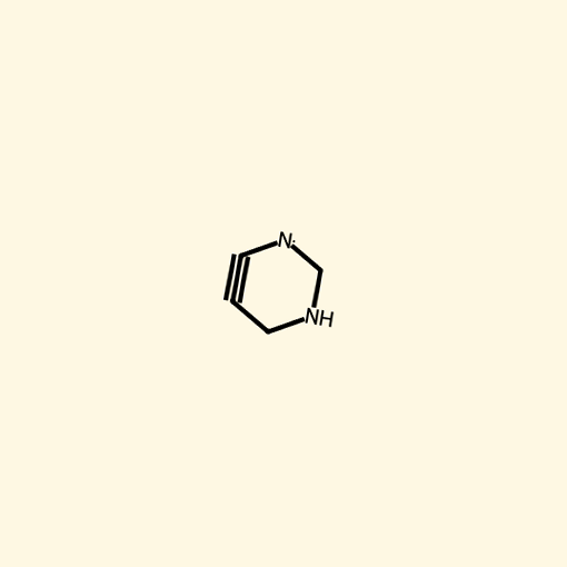 C1#C[N]CNC1